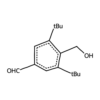 CC(C)(C)c1cc(C=O)cc(C(C)(C)C)c1CO